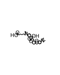 CCN(CC)c1ccc2c(c1)OC1=C(CCCC1=Cc1c(O)c3ccc(N(CC)CCCCCC(=O)O)cc3oc1=O)C2